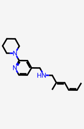 C/C=C\C=C(/C)CNCc1ccnc(N2CCCCC2)c1